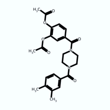 CC(=O)Oc1ccc(C(=O)N2CCN(C(=O)c3ccc(C)c(C)c3)CC2)cc1OC(C)=O